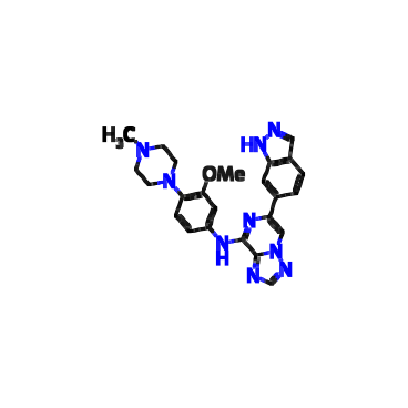 COc1cc(Nc2nc(-c3ccc4cn[nH]c4c3)cn3ncnc23)ccc1N1CCN(C)CC1